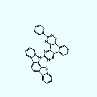 c1ccc(-c2ncc3c4ccccc4c4cnc(-n5c6ccccc6c6ccc7c8ccccc8sc7c65)nc4c3n2)cc1